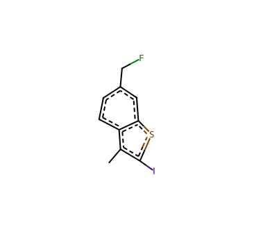 Cc1c(I)sc2cc(CF)ccc12